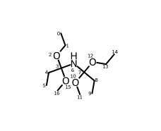 CCOC(CC)(NC(CC)(OC)OCC)OC